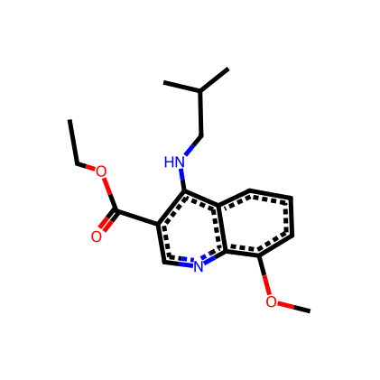 CCOC(=O)c1cnc2c(OC)cccc2c1NCC(C)C